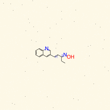 CCC(/C=C/c1cnc2ccccc2c1)=N\O